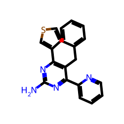 Nc1nc(-c2ccsc2)c(Cc2ccccc2)c(-c2ccccn2)n1